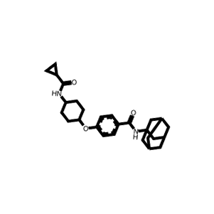 O=C(NC12CC3CC(CC(C3)C1)C2)c1ccc(OC2CCC(NC(=O)C3CC3)CC2)cc1